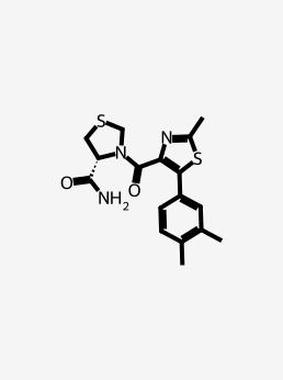 Cc1nc(C(=O)N2CSC[C@H]2C(N)=O)c(-c2ccc(C)c(C)c2)s1